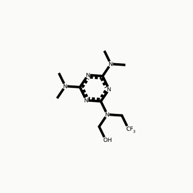 CN(C)c1nc(N(C)C)nc(N(CO)CC(F)(F)F)n1